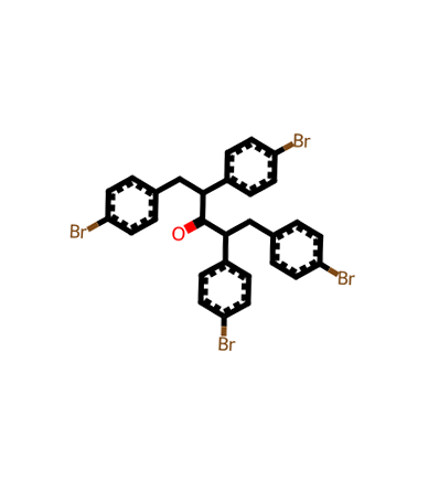 O=C(C(Cc1ccc(Br)cc1)c1ccc(Br)cc1)C(Cc1ccc(Br)cc1)c1ccc(Br)cc1